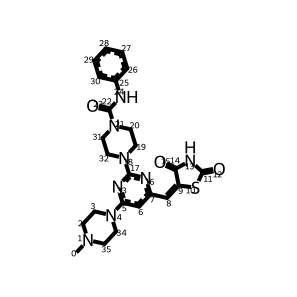 CN1CCN(c2cc(/C=C3/SC(=O)NC3=O)nc(N3CCN(C(=O)Nc4ccccc4)CC3)n2)CC1